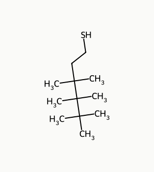 CC(C)(C)C(C)(C)C(C)(C)CCS